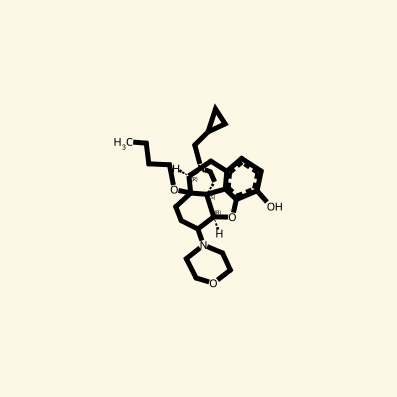 CCCCOC12CCC(N3CCOCC3)[C@@H]3Oc4c(O)ccc5c4[C@@]31CCN(CC1CC1)[C@@H]2C5